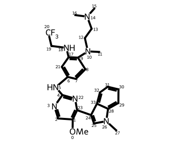 COc1cnc(Nc2ccc(N(C)CCN(C)C)c(NCC(F)(F)F)c2)nc1-c1cn(C)c2ccccc12